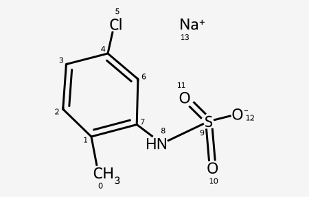 Cc1ccc(Cl)cc1NS(=O)(=O)[O-].[Na+]